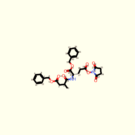 CC(CC(=O)OCc1ccccc1)C(=O)N[C@@H](CCC(=O)ON1C(=O)CCC1=O)C(=O)OCc1ccccc1